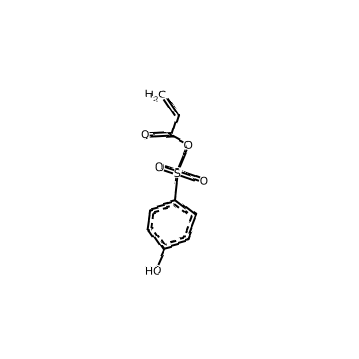 C=CC(=O)OS(=O)(=O)c1ccc(O)cc1